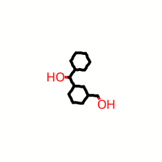 OCC1CCCC(C(O)C2CCCCC2)C1